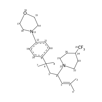 CC(C)=CC(CC(C)(C)c1ccc(N2CCOCC2)cc1)N1CCC(C(F)(F)F)CC1